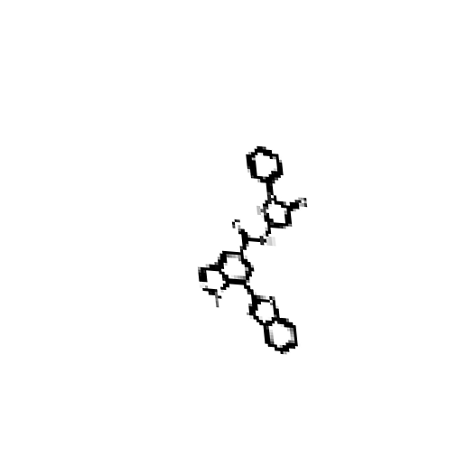 O=C(NC1=NN(c2ccccc2)C(=O)C1)c1cc(-c2cc3ccccc3s2)c2[nH]ncc2c1